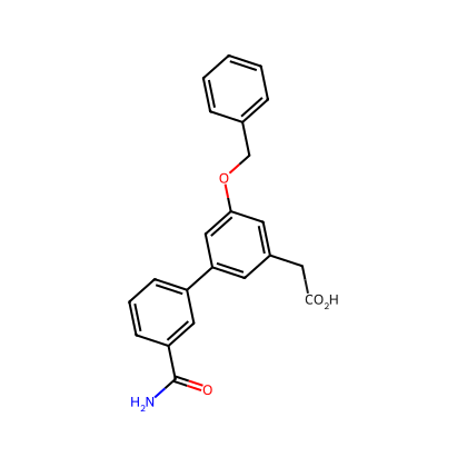 NC(=O)c1cccc(-c2cc(CC(=O)O)cc(OCc3ccccc3)c2)c1